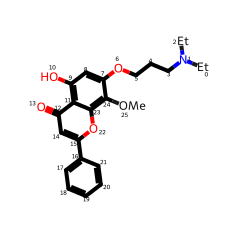 CCN(CC)CCCOc1cc(O)c2c(=O)cc(-c3ccccc3)oc2c1OC